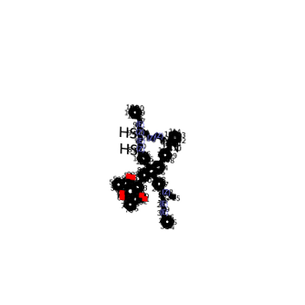 C=C/C=C\C=C/Cn1c(-c2ccc(-c3ccc4c(-c5ccc(/C(=C/C=C)S/C=C/C=C/c6ccccc6)cc5)c5cc(-c6ccc7c(c6)C6(c8ccccc8-c8ccccc86)c6ccccc6C76c7ccccc7-c7ccccc76)ccc5c(-c5ccc(/C(S)=C/C=C/C(S)=C/C=C/c6ccccc6)cc5)c4c3)cc2)nc2ccccc21